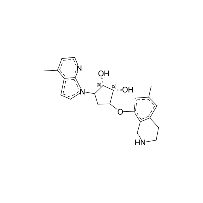 Cc1cc2c(c(OC3CC(n4ccc5c(C)ccnc54)[C@H](O)[C@@H]3O)c1)CNCC2